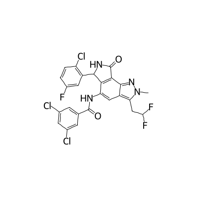 Cn1nc2c3c(c(NC(=O)c4cc(Cl)cc(Cl)c4)cc2c1CC(F)F)C(c1cc(F)ccc1Cl)NC3=O